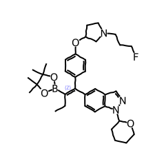 CC/C(B1OC(C)(C)C(C)(C)O1)=C(/c1ccc(OC2CCN(CCCF)C2)cc1)c1ccc2c(cnn2C2CCCCO2)c1